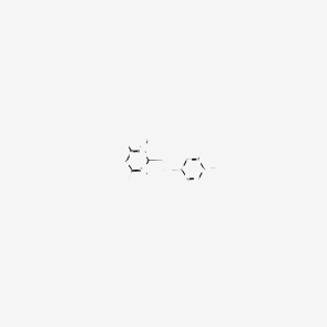 Cc1cc(=O)n(C)c(COc2ccc(F)c(F)c2)n1